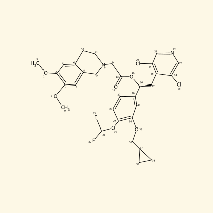 COc1cc2c(cc1OC)CN(CC(=O)O[C@@H](Cc1c(Cl)cncc1Cl)c1ccc(OC(F)F)c(OCC3CC3)c1)CC2